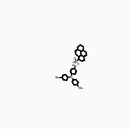 CC(C)(C)c1ccc([S+](c2ccc(C(C)(C)C)cc2)c2ccc(C(C)(C)C)cc2)cc1.O=S(=O)([O-])c1ccc2ccc3cccc4ccc1c2c34